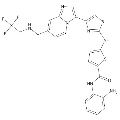 Nc1ccccc1NC(=O)c1ccc(Nc2nc(-c3cnc4cc(CNCC(F)(F)F)ccn34)cs2)s1